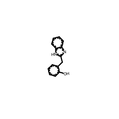 Oc1ccccc1Cc1nc2ccccc2[nH]1